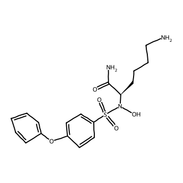 NCCCC[C@H](C(N)=O)N(O)S(=O)(=O)c1ccc(Oc2ccccc2)cc1